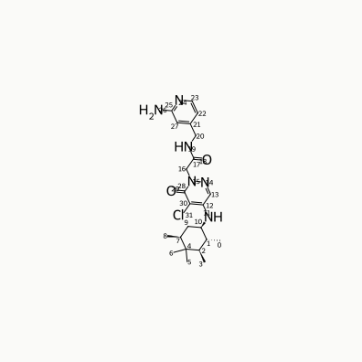 C[C@@H]1[C@@H](C)C(C)(C)[C@@H](C)C[C@H]1Nc1cnn(CC(=O)NCc2ccnc(N)c2)c(=O)c1Cl